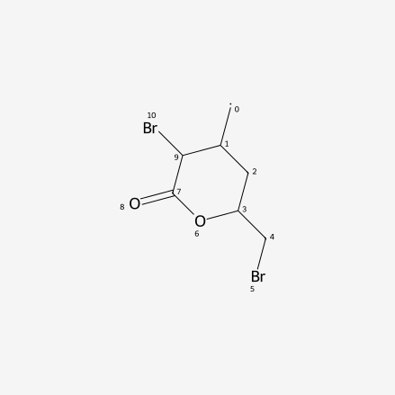 [CH2]C1CC(CBr)OC(=O)C1Br